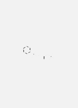 CC(C)(C)CC(=O)OOC(C)(C)c1ccccc1